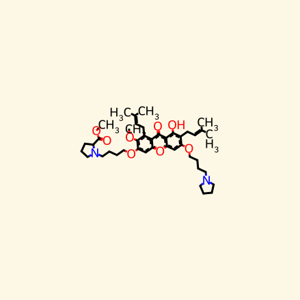 COC(=O)C1CCCN1CCCCOc1cc2oc3cc(OCCCCN4CCCC4)c(CC=C(C)C)c(O)c3c(=O)c2c(CC=C(C)C)c1OC